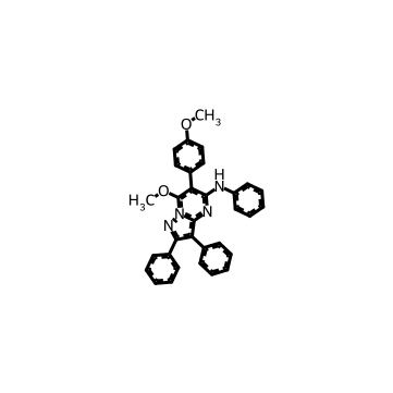 COc1ccc(-c2c(Nc3ccccc3)nc3c(-c4ccccc4)c(-c4ccccc4)nn3c2OC)cc1